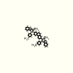 Cc1ccc(N2B(c3ccc4c(ccc5cc(B6N(C)c7sc8ccccc8c7N6c6ccc(C)cc6)ccc54)c3)N(C)c3sc4ccccc4c32)cc1